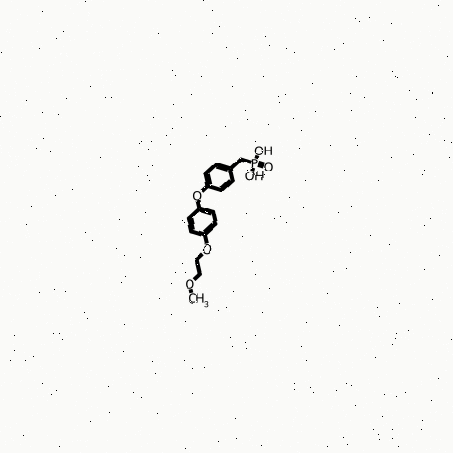 COCCOc1ccc(Oc2ccc(CP(=O)(O)O)cc2)cc1